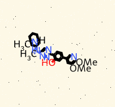 COc1cc(-c2ccc(-c3ncc(N(C)[C@@H]4C[C@H]5CCC[C@@](C)(C4)N5)nn3)c(O)c2)cnc1OC